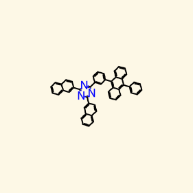 c1ccc(-c2c3ccccc3c(-c3cccc(-c4nc(-c5ccc6ccccc6c5)nc(-c5ccc6ccccc6c5)n4)c3)c3ccccc23)cc1